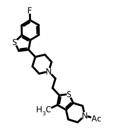 CC(=O)N1CCc2c(sc(CCN3CCC(c4csc5cc(F)ccc45)CC3)c2C)C1